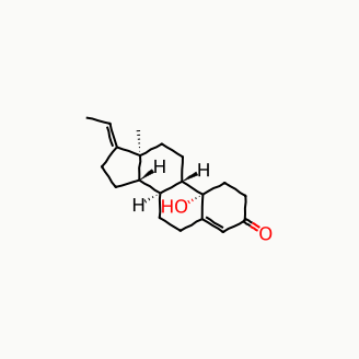 CC=C1CC[C@H]2[C@@H]3CCC4=CC(=O)CC[C@]4(O)[C@H]3CC[C@]12C